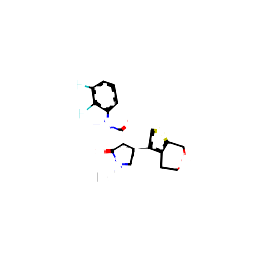 CN1C[C@H](c2csc3c2CCOC3)[C@@H](C(=O)Nc2cccc(F)c2F)C1=O